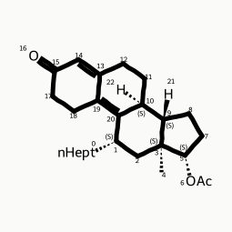 CCCCCCC[C@H]1C[C@]2(C)[C@@H](OC(C)=O)CC[C@H]2[C@@H]2CCC3=CC(=O)CCC3=C12